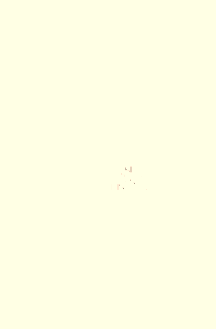 CCCCCCCCCCCN(N)C(=N)N